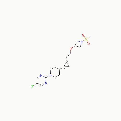 CS(=O)(=O)N1CC(OCC[C@@H]2C[C@@H]2C2CCN(c3ncc(Cl)cn3)CC2)C1